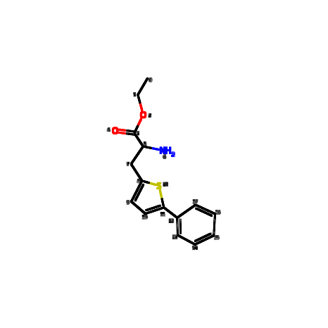 CCOC(=O)C(N)Cc1ccc(-c2ccccc2)s1